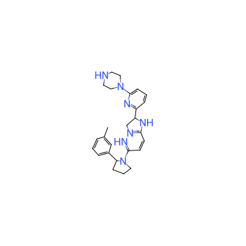 Cc1cccc(C2CCCN2C(=N)/C=C\C2=NCC(c3cccc(N4CCNCC4)n3)N2)c1